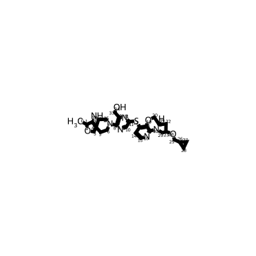 CC1OCC2(CCN(c3ncc(Sc4ccnc5c4OC[C@@H]4CC(OCC6CC6)CN54)nc3CO)CC2)[C@@H]1N